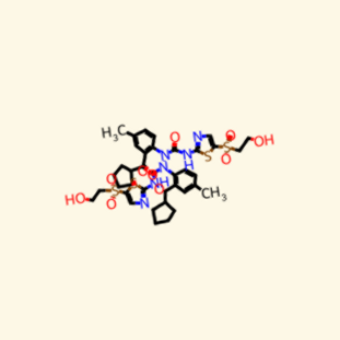 Cc1ccc(N(C(=O)Nc2ncc(S(=O)(=O)CCO)s2)N(C(=O)Nc2ncc(S(=O)(=O)CCO)s2)c2ccc(C)cc2C(=O)C2CCCC2)c(C(=O)C2CCCC2)c1